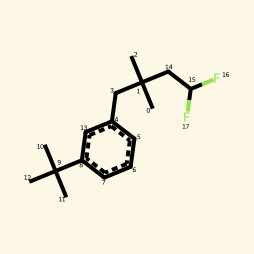 CC(C)(Cc1cccc(C(C)(C)C)c1)CC(F)F